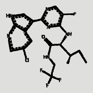 CC[C@@H](C)[C@H](Nc1nc(-c2c[nH]c3ncc(Cl)cc23)ncc1F)C(=O)NCC(F)(F)F